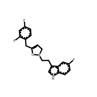 Fc1ccc(CC2=CCN(CCc3c[nH]c4ccc(F)cc34)O2)c(F)c1